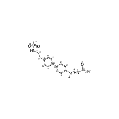 CC(C)C(=O)NCC(C)c1ccc(-c2ccc(CCNS(C)(=O)=O)cc2)cc1